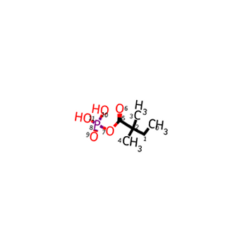 CCC(C)(C)C(=O)OP(=O)(O)O